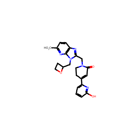 O=C(O)c1ccc2nc(CN3CCC(c4cccc(O)n4)=CC3=O)n(CC3CCO3)c2n1